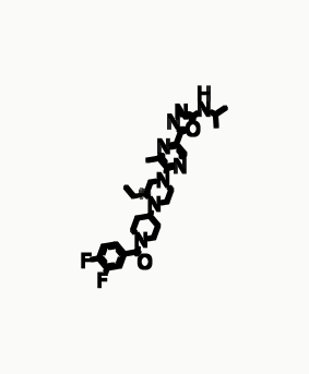 CC[C@H]1CN(c2ncc(-c3nnc(NC(C)C)o3)nc2C)CCN1C1CCN(C(=O)c2ccc(F)c(F)c2)CC1